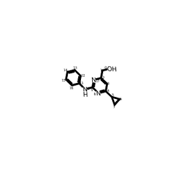 OCc1cc(C2CC2)nc(Nc2ccccc2)n1